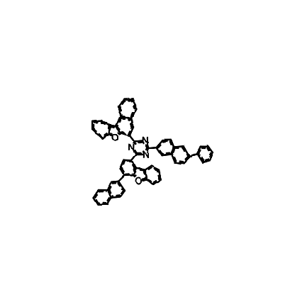 c1ccc(-c2ccc3cc(-c4nc(-c5cc6ccccc6c6c5oc5ccccc56)nc(-c5ccc(-c6ccc7ccccc7c6)c6oc7ccccc7c56)n4)ccc3c2)cc1